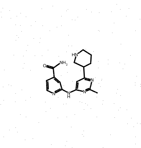 Cc1nc(Nc2cc(C(N)=O)ccn2)cc(C2CCCNC2)n1